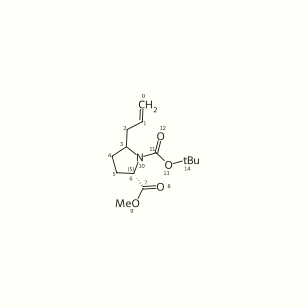 C=CCC1CC[C@@H](C(=O)OC)N1C(=O)OC(C)(C)C